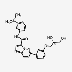 CN(C)c1cccc(NC(=O)c2cnc3ccc(-c4cccc(OC[C@H](O)CO)c4)nn23)n1